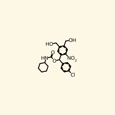 O=C(NC1CCCCC1)OC(c1ccc(Cl)cc1)c1cc(CO)c(CO)cc1[N+](=O)[O-]